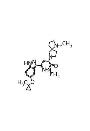 CCN1CCCC12CCN(c1cc(-c3n[nH]c4ccc(OC5(C)CC5)cc34)nn(C)c1=O)C2